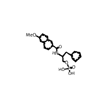 COc1ccc2cc(C(=O)NC(COP(=O)(O)O)Cc3ccccc3)ccc2c1